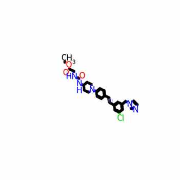 CCOC(=O)CNC(=O)NC1CCN(c2ccc(/C=C/c3cc(Cl)cc(Cn4ccnc4)c3)cc2)CC1